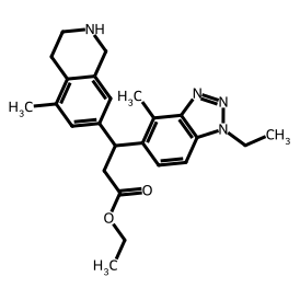 CCOC(=O)CC(c1cc(C)c2c(c1)CNCC2)c1ccc2c(nnn2CC)c1C